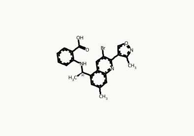 Cc1cc([C@@H](C)Nc2ccccc2C(=O)O)c2cc(Br)c(-c3conc3C)nc2c1